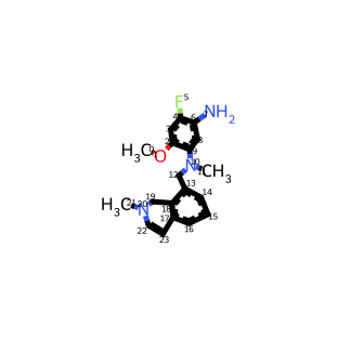 COc1cc(F)c(N)cc1N(C)Cc1cccc2c1CN(C)C=C2